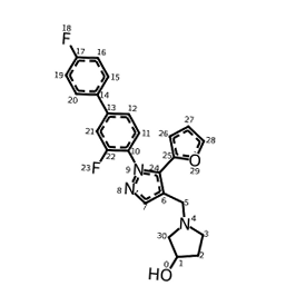 OC1CCN(Cc2cnn(-c3ccc(-c4ccc(F)cc4)cc3F)c2-c2ccco2)C1